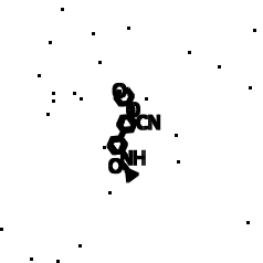 N#Cc1cc(-c2cccc(NC(=O)C3CC3)c2)ccc1OC1CCOCC1